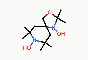 CC1(C)CC2(COC(C)(C)N2O)CC(C)(C)N1O